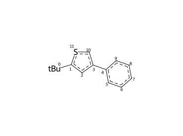 CC(C)(C)c1cc(-c2ccccc2)cs1